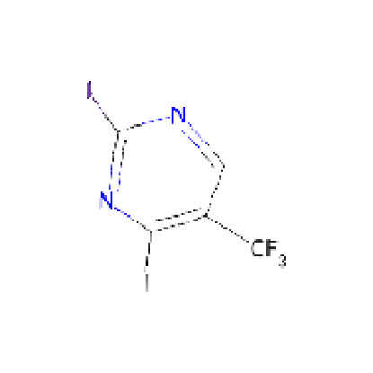 Cc1nc(I)ncc1C(F)(F)F